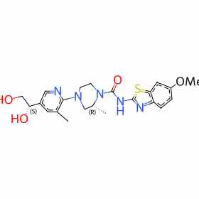 COc1ccc2nc(NC(=O)N3CCN(c4ncc([C@H](O)CO)cc4C)C[C@H]3C)sc2c1